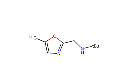 Cc1cnc(CNC(C)(C)C)o1